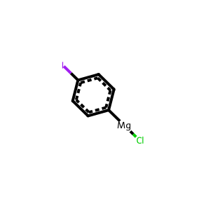 [Cl][Mg][c]1ccc(I)cc1